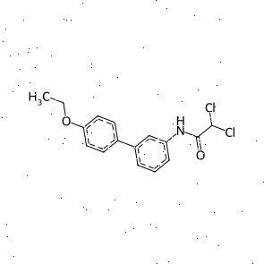 CCOc1ccc(-c2cccc(NC(=O)C(Cl)Cl)c2)cc1